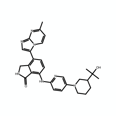 Cc1ccn2c(-c3ccc(Nc4ccc(N5CCCC(C(C)(C)O)C5)cn4)c4c3CNC4=O)cnc2n1